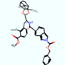 COc1c(C[C@H](NC(=O)c2ccc3cn(C(=O)OCc4ccccc4)cc3c2)B2OC3CC4CC(C4(C)C)C3(C)O2)cccc1C(=O)OC(C)(C)C